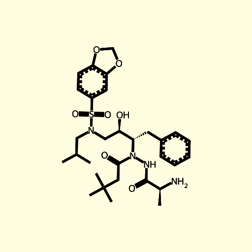 CC(C)CN(C[C@@H](O)[C@H](Cc1ccccc1)N(NC(=O)[C@H](C)N)C(=O)CC(C)(C)C)S(=O)(=O)c1ccc2c(c1)OCO2